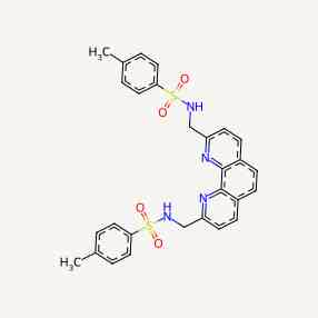 Cc1ccc(S(=O)(=O)NCc2ccc3ccc4ccc(CNS(=O)(=O)c5ccc(C)cc5)nc4c3n2)cc1